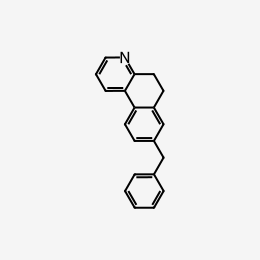 c1ccc(Cc2ccc3c(c2)CCc2ncccc2-3)cc1